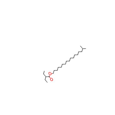 CCC(CC)C(=O)OCCCCCCCCCCCCCCCC(C)C